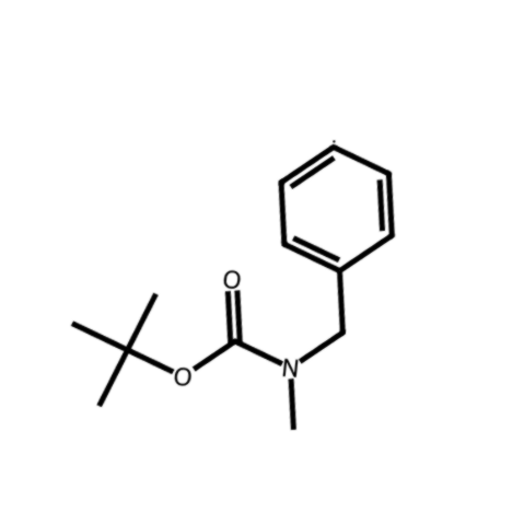 CN(Cc1cc[c]cc1)C(=O)OC(C)(C)C